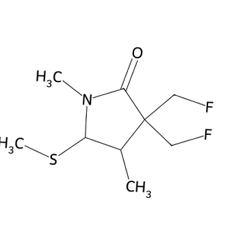 CSC1C(C)C(CF)(CF)C(=O)N1C